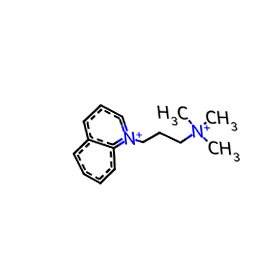 C[N+](C)(C)CCC[n+]1cccc2ccccc21